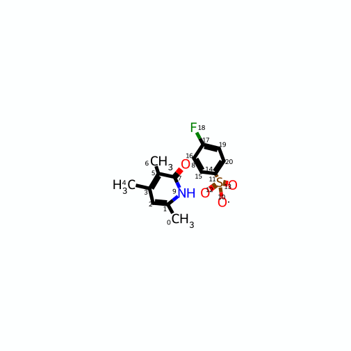 Cc1cc(C)c(C)c(=O)[nH]1.[O]S(=O)(=O)c1ccc(F)cc1